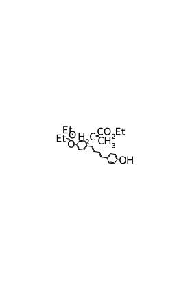 C=C(C)C(=O)OCC.CCOC(CC)Oc1ccc(C=CC=Cc2ccc(O)cc2)cc1